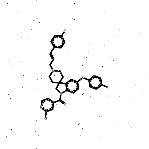 O=C(c1ccnc(Cl)c1)N1CC2(CCN(C/C=C/c3ccc(F)cc3)CC2)c2cc(Sc3ccc(F)cc3)ccc21